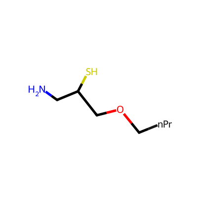 CCCCOCC(S)CN